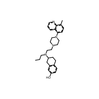 CCCN(CCN1CCN(c2ccc(C)c3ncccc23)CC1)C1CCc2ccc(O)cc2C1